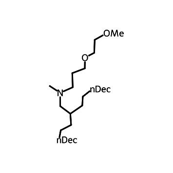 CCCCCCCCCCCCC(CCCCCCCCCCCC)CN(C)CCCOCCOC